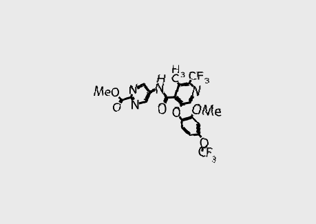 COC(=O)c1ncc(NC(=O)c2c(Oc3ccc(OC(F)(F)F)cc3OC)cnc(C(F)(F)F)c2C)cn1